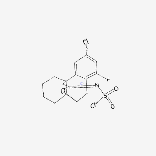 O=S(=O)(Cl)/N=C1/CC23CCCCC2(CCc2c(F)cc(Cl)cc23)O1